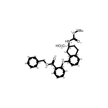 CC(C)(C)OC(=O)N[C@@]1(C(=O)O)CCc2cccc(Oc3ccccc3C(=O)OCc3ccccc3)c2C1